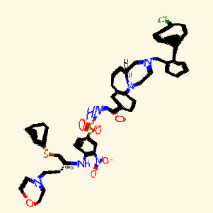 O=C(NS(=O)(=O)c1ccc(N[C@H](CCN2CCOCC2)CSc2ccccc2)c([N+](=O)[O-])c1)c1ccc2c(c1)CCC[C@H]1CN(Cc3ccccc3-c3ccc(Cl)cc3)CCN21